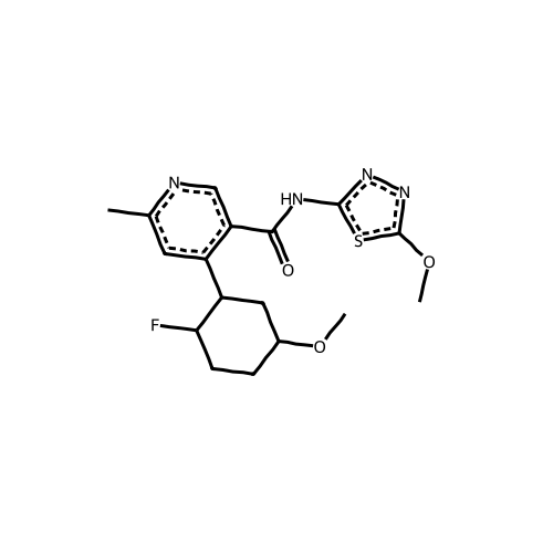 COc1nnc(NC(=O)c2cnc(C)cc2C2CC(OC)CCC2F)s1